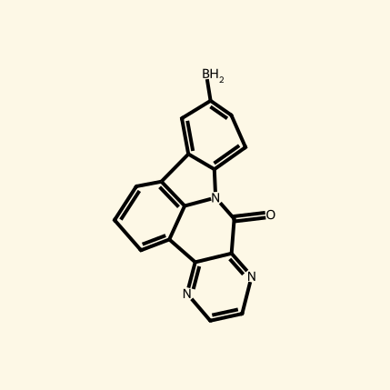 Bc1ccc2c(c1)c1cccc3c4nccnc4c(=O)n2c13